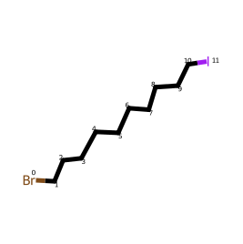 BrCCCCCCCCCCI